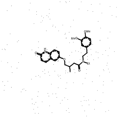 CCN(CCc1ccc(OC)c(OC)c1)C(=O)CC(C)COc1ccc2[nH]c(=O)ccc2c1